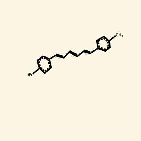 Cc1ccc(/C=C/C=C/C=C/c2ccc(C(C)C)cc2)cc1